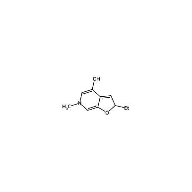 CCC1C=C2C(O)=CN(C)C=C2O1